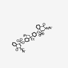 CCC(CC(C)C)(c1ccc(OS(=O)(=O)C2=CC(=[N+]=[N-])C(=O)c3ccccc32)cc1)c1ccc(OS(=O)(=O)C2=CC(=[N+]=[N-])C(=O)c3ccccc32)cc1